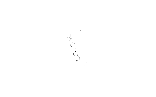 COCCNS(=O)(=O)Nc1cccc(Cc2c(C)c3cc(Cl)c(OC(=O)N(C)C)cc3oc2=O)c1